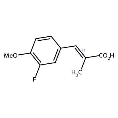 COc1ccc(/C=C(\C)C(=O)O)cc1F